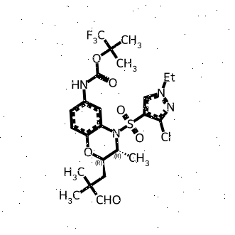 CCn1cc(S(=O)(=O)N2c3cc(NC(=O)OC(C)(C)C(F)(F)F)ccc3O[C@H](CC(C)(C)C=O)[C@H]2C)c(Cl)n1